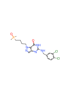 CP(C)(=O)CCCCn1ncc2nc(NCc3ccc(Cl)c(Cl)c3)[nH]c(=O)c21